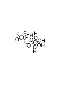 C=Cc1cc(C(F)(F)F)c(/C=C/c2cccc(-c3c(O)c(O)c(O)c(O)c3O)c2C)cc1OC